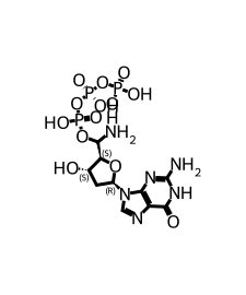 Nc1nc2c(ncn2[C@H]2C[C@H](O)[C@@H](C(N)OP(=O)(O)OP(=O)(O)OP(=O)(O)O)O2)c(=O)[nH]1